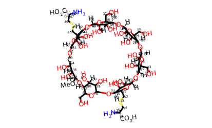 CO[C@H]1O[C@@H]2C(CO)OC(O[C@@H]3C(CSC[C@@H](N)C(=O)O)O[C@@H](O[C@H]4C(CO)O[C@H](O[C@@H]5C(CO)O[C@H](O[C@@H]6C(CO)O[C@@H](O[C@@H]7C(CSC[C@@H](N)C(=O)O)O[C@H](OCC(O)[C@@H]1O)C(O)[C@H]7O)C(O)[C@H]6O)[C@@H](O)C5O)[C@@H](O)C4O)[C@@H](O)C3O)C(O)[C@H]2O